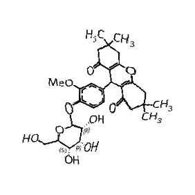 COc1cc(C2C3=C(CC(C)(C)CC3=O)OC3=C2C(=O)CC(C)(C)C3)ccc1OC1OC(CO)[C@@H](O)[C@@H](O)[C@H]1O